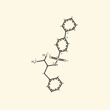 CC(C)C(Cc1ccccc1)NS(=O)(=O)c1ccc(-c2ccccc2)cc1